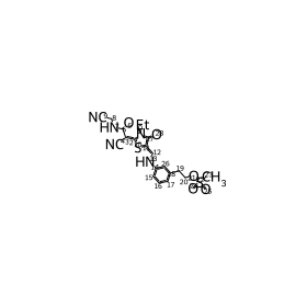 CCn1c(=C(C#N)C(=O)NCC#N)sc(=CNc2cccc(CCOS(C)(=O)=O)c2)c1=O